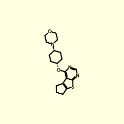 c1nc(O[C@H]2CC[C@H](N3CCOCC3)CC2)c2c3c(sc2n1)CCC3